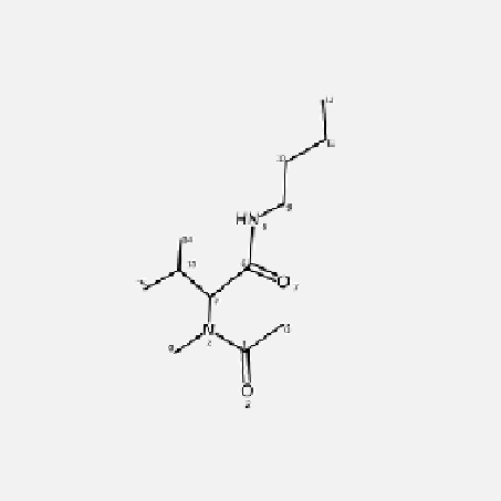 [CH2]C(=O)N(C)C(C(=O)NCCCC)C(C)C